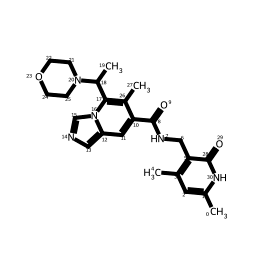 Cc1cc(C)c(CNC(=O)c2cc3cncn3c(C(C)N3CCOCC3)c2C)c(=O)[nH]1